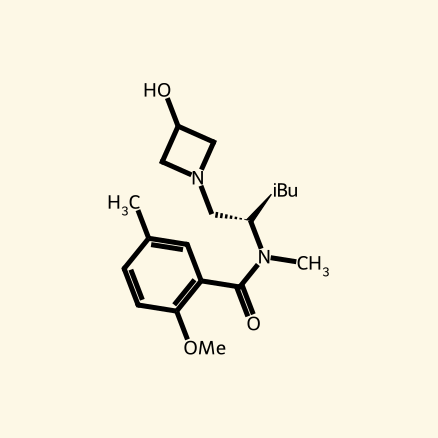 CC[C@H](C)[C@@H](CN1CC(O)C1)N(C)C(=O)c1cc(C)ccc1OC